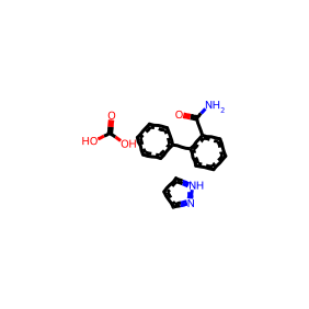 NC(=O)c1ccccc1-c1ccccc1.O=C(O)O.c1cn[nH]c1